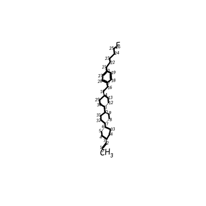 CC=C[C@H]1CC[C@H]([C@H]2CC[C@H]([C@H]3CC[C@H](CCc4ccc(CCCCCF)cc4)CC3)CC2)CC1